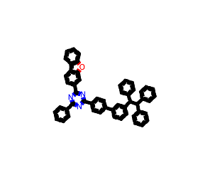 c1ccc(-c2nc(-c3ccc(-c4cccc(C(c5ccccc5)C(c5ccccc5)c5ccccc5)c4)cc3)nc(-c3ccc4c(c3)oc3ccccc34)n2)cc1